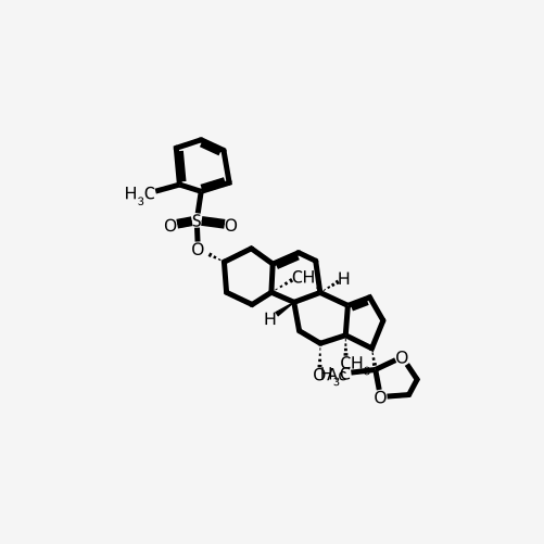 CC(=O)O[C@@H]1C[C@H]2[C@@H](CC=C3C[C@@H](OS(=O)(=O)c4ccccc4C)CC[C@@]32C)C2=CC[C@H](C3(C)OCCO3)[C@]21C